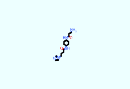 NCCC(=O)NC1CCC(NC(=O)CCCn2ccnc2)CC1